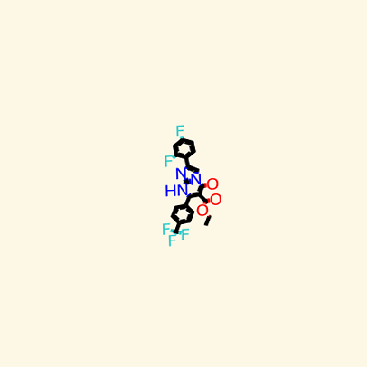 CCOC(=O)c1c(-c2ccc(C(F)(F)F)cc2)[nH]c2nc(-c3ccc(F)cc3F)cn2c1=O